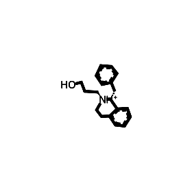 OCCC[N@@H+]1CCc2ccccc2[C@H]1Cc1ccccc1